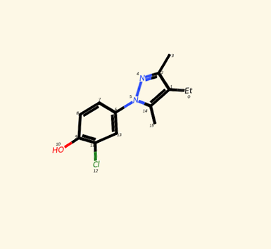 CCc1c(C)nn(-c2ccc(O)c(Cl)c2)c1C